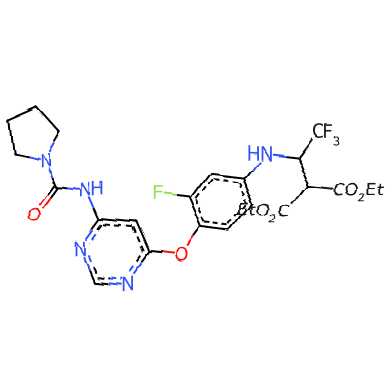 CCOC(=O)C(C(=O)OCC)C(Nc1ccc(Oc2cc(NC(=O)N3CCCC3)ncn2)c(F)c1)C(F)(F)F